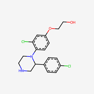 OCCOc1ccc(N2CCNCC2c2ccc(Cl)cc2)c(Cl)c1